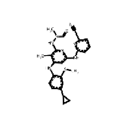 CSc1cc(C2CC2)ccc1Nc1cc(Nc2cccc(C#N)n2)nc(NN(C)C=O)c1C